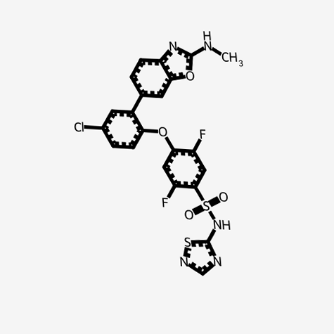 CNc1nc2ccc(-c3cc(Cl)ccc3Oc3cc(F)c(S(=O)(=O)Nc4ncns4)cc3F)cc2o1